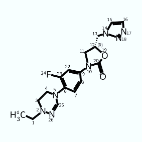 CCN1CCN(c2ccc(N3C[C@H](Cn4ccnn4)OC3=O)cc2F)C=N1